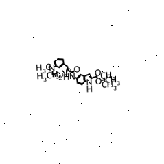 CC(=O)N(C)c1cccc(C[C@H](N)C(=O)Nc2ccc3[nH]c(C(=O)OC(C)(C)C)cc3c2)c1